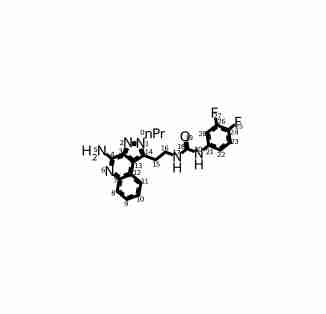 CCCn1nc2c(N)nc3ccccc3c2c1CCNC(=O)Nc1ccc(F)c(F)c1